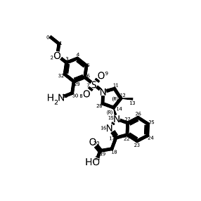 CCOc1ccc(S(=O)(=O)N2C[C@@H](C)[C@@H](n3nc(CC(=O)O)c4ccccc43)C2)c(CN)c1